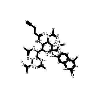 C#CCCC(=O)N[C@H]1C([C@H](OC(C)=O)[C@@H](COC(C)=O)OC(C)=O)O[C@@](Oc2ccc3c(C)cc(=O)oc3c2)(C(=O)OC)[C@@H](O)C1OC(C)=O